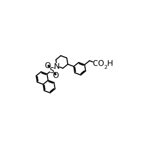 O=C(O)Cc1cccc(C2CCCN(S(=O)(=O)c3cccc4ccccc34)C2)c1